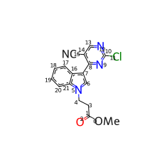 COC(=O)CCn1cc(-c2nc(Cl)ncc2C#N)c2ccccc21